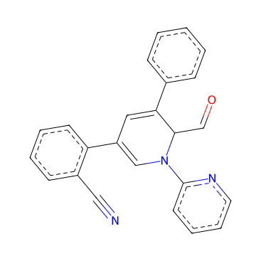 N#Cc1ccccc1C1=CN(c2ccccn2)C(C=O)C(c2ccccc2)=C1